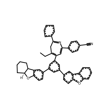 CCC1=C(c2cc(-c3ccc4c(c3)C3CCCC[C@@H]3O4)cc(-c3ccc4oc5ccccc5c4c3)c2)C=C(c2ccc(C#N)cc2)N=C(c2ccccc2)C1